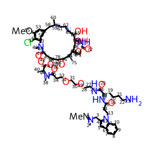 CNN(C)Cc1cc2ccccc2n1CCC(=O)N[C@@H](CCCCN)C(=O)NCCOCCOCCC(=O)N(C)[C@@H](C)C(=O)O[C@H]1CC(=O)N(C)c2cc(cc(OC)c2Cl)C/C(C)=C/C=C/[C@@H](O)[C@@]2(O)C[C@H](OC(=O)N2)[C@@H](C)C2O[C@]21C